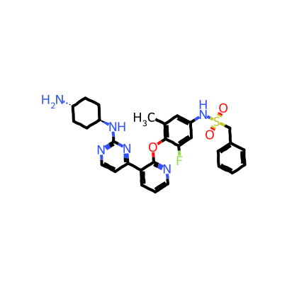 Cc1cc(NS(=O)(=O)Cc2ccccc2)cc(F)c1Oc1ncccc1-c1ccnc(N[C@H]2CC[C@H](N)CC2)n1